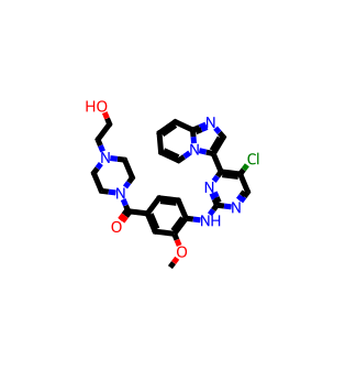 COc1cc(C(=O)N2CCN(CCO)CC2)ccc1Nc1ncc(Cl)c(-c2cnc3ccccn23)n1